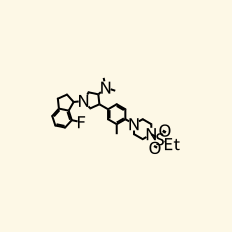 CCS(=O)(=O)N1CCN(c2ccc(C3CN(C4CCc5cccc(F)c54)CC3N(C)C)cc2C)CC1